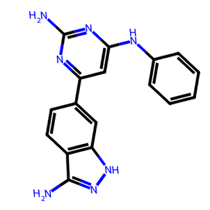 Nc1nc(Nc2ccccc2)cc(-c2ccc3c(N)n[nH]c3c2)n1